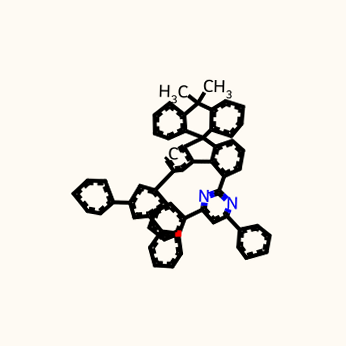 CC1(C)c2ccccc2C2(c3ccc(-c4cc(-c5ccccc5)cc(-c5ccccc5)c4)cc3-c3c(-c4nc(-c5ccccc5)cc(-c5ccccc5)n4)cccc32)c2ccccc21